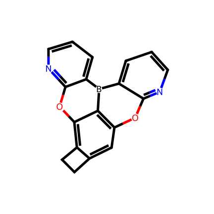 c1cnc2c(c1)B1c3cccnc3Oc3c4c(cc(c31)O2)CC4